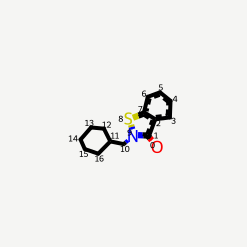 O=c1c2ccccc2sn1CC1CCCCC1